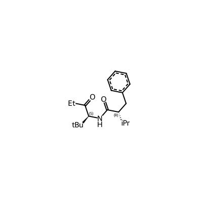 CCC(=O)[C@@H](NC(=O)[C@H](Cc1ccccc1)C(C)C)C(C)(C)C